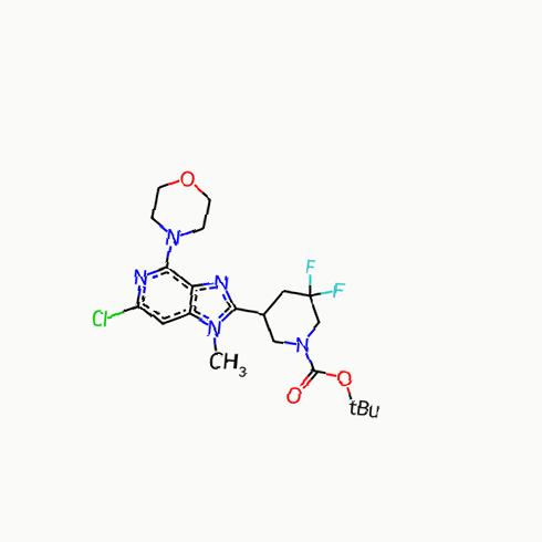 Cn1c(C2CN(C(=O)OC(C)(C)C)CC(F)(F)C2)nc2c(N3CCOCC3)nc(Cl)cc21